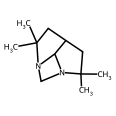 CC1(C)CC2CC(C)(C)N3CN1C23